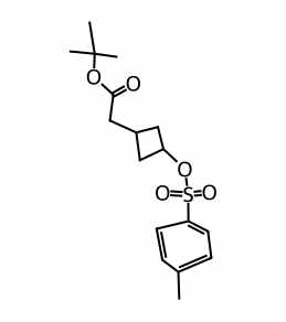 Cc1ccc(S(=O)(=O)OC2CC(CC(=O)OC(C)(C)C)C2)cc1